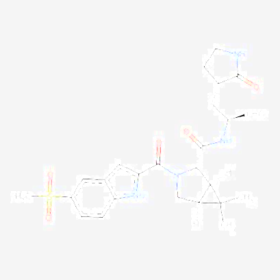 CC1(C)[C@@H]2[C@@H](C(=O)N[C@H](C=O)C[C@@H]3CCNC3=O)N(C(=O)c3cc4cc(S(C)(=O)=O)ccc4[nH]3)C[C@@H]21